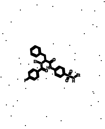 CCNS(=O)(=O)c1ccc(NC(=O)C(Cc2ccccc2)N(CC)C(=O)c2ccc(F)cc2)cc1